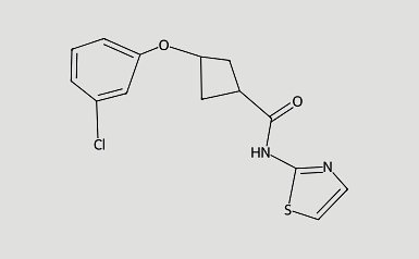 O=C(Nc1nccs1)C1CC(Oc2cccc(Cl)c2)C1